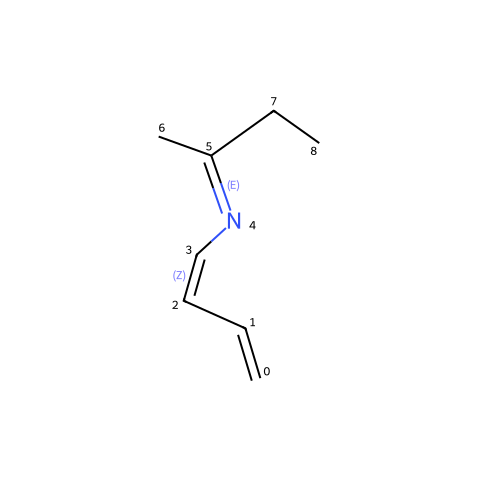 C=C/C=C\N=C(/C)CC